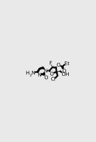 CCC(=O)O[C@H]1[C@@H](F)[C@H](n2ccc(N)nc2=O)O[C@@]1(CO)CCl